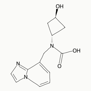 O=C(O)N(Cc1cccn2ccnc12)[C@H]1C[C@H](O)C1